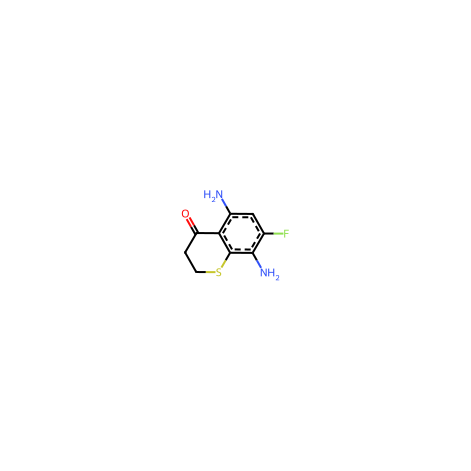 Nc1cc(F)c(N)c2c1C(=O)CCS2